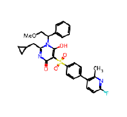 COCC(c1ccccc1)n1c(CC2CC2)nc(=O)c(S(=O)(=O)c2ccc(-c3ccc(F)nc3C)cc2)c1O